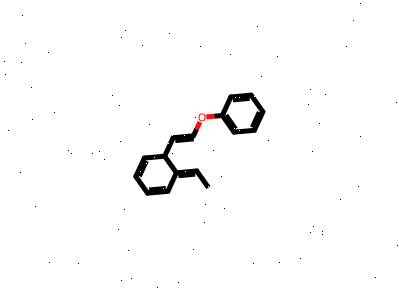 CC=C1C=CC=CC1C=COc1ccccc1